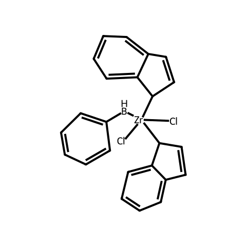 [Cl][Zr]([Cl])([BH]c1ccccc1)([CH]1C=Cc2ccccc21)[CH]1C=Cc2ccccc21